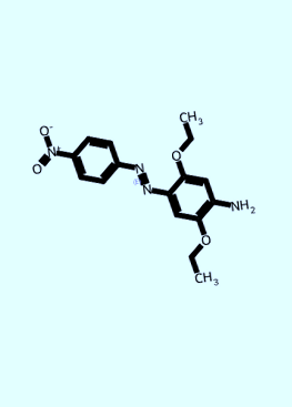 CCOc1cc(/N=N/c2ccc([N+](=O)[O-])cc2)c(OCC)cc1N